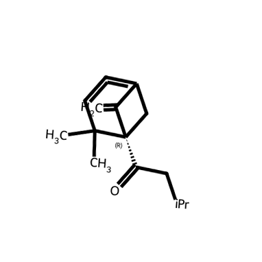 C=C1C2=C=CC(C)(C)[C@]1(C(=O)CC(C)C)C2